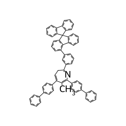 CC1=C(c2ccc(-c3ccccc3)cc2)N=C(c2cccc(-c3cccc4c3-c3ccccc3C43c4ccccc4-c4ccccc43)c2)CC=C1c1ccc(-c2ccccc2)cc1